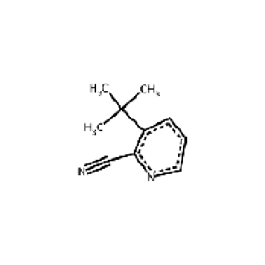 CC(C)(C)c1cccnc1C#N